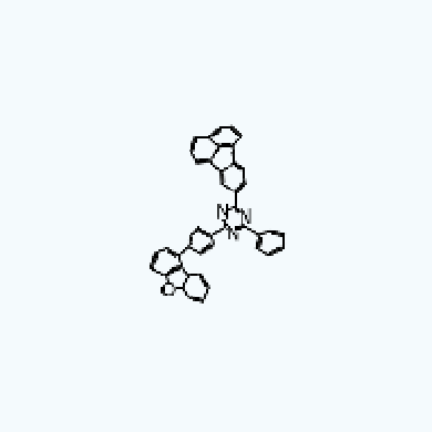 C1=CC2Oc3cccc(-c4ccc(-c5nc(-c6ccccc6)nc(-c6ccc7c(c6)-c6cccc8cccc-7c68)n5)cc4)c3C2C=C1